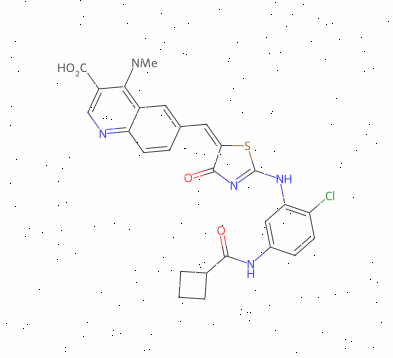 CNc1c(C(=O)O)cnc2ccc(C=C3SC(Nc4cc(NC(=O)C5CCC5)ccc4Cl)=NC3=O)cc12